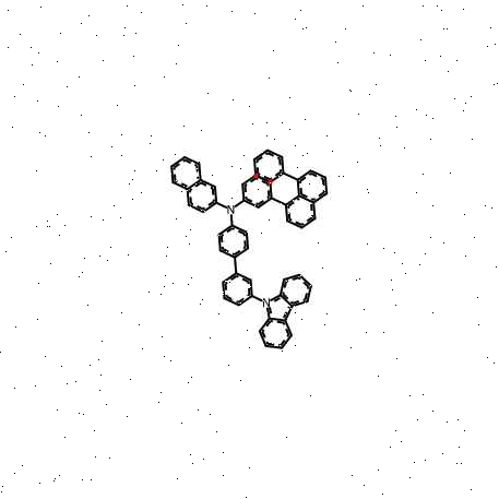 c1ccc(-c2cccc3cccc(-c4cccc(N(c5ccc(-c6cccc(-n7c8ccccc8c8ccccc87)c6)cc5)c5ccc6ccccc6c5)c4)c23)cc1